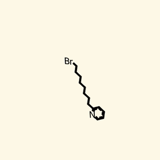 BrCCCCCCCCc1ccccn1